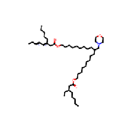 CC/C=C/C=C(\CCCCC)CC(=O)OCCCCCCCCCC(CCCCCCCCCOC(=O)CC(CC)CCCCC)CN1CCOCC1